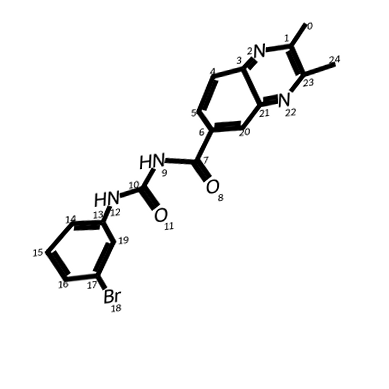 Cc1nc2ccc(C(=O)NC(=O)Nc3cccc(Br)c3)cc2nc1C